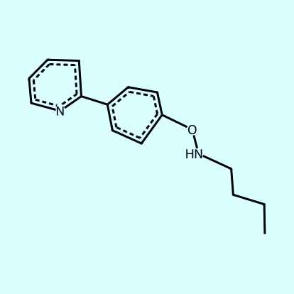 CCCCNOc1ccc(-c2ccccn2)cc1